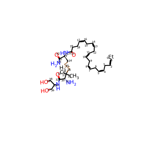 CC/C=C\C/C=C\C/C=C\C/C=C\C/C=C\C/C=C\CCC(=O)N[C@@H](CSSC(C)(C)[C@H](N)C(=O)NC(CO)CO)C(N)=O